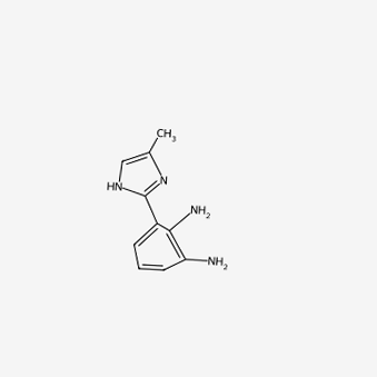 Cc1c[nH]c(-c2cccc(N)c2N)n1